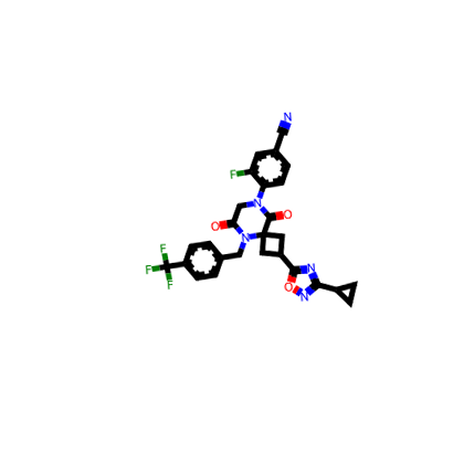 N#Cc1ccc(N2CC(=O)N(Cc3ccc(C(F)(F)F)cc3)C3(CC(c4nc(C5CC5)no4)C3)C2=O)c(F)c1